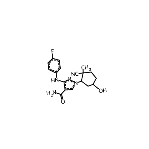 CC1(C#N)CCC(O)CC1n1cc(C(N)=O)c(Nc2ccc(F)cc2)n1